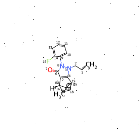 C=CCn1c2c(c(=O)n1-c1ccccc1F)[C@H]1CC[C@@]23CC13C